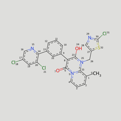 Cc1ccc[n+]2c(=O)c(-c3cccc(-c4ncc(Cl)cc4Cl)c3)c(O)n(Cc3cnc(Cl)s3)c12